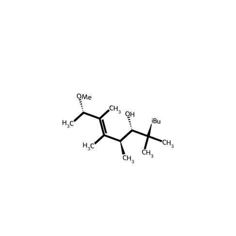 CC[C@H](C)C(C)(C)[C@@H](O)[C@@H](C)/C(C)=C(\C)[C@H](C)OC